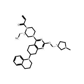 C=CC(=O)N1CCN(c2nc(OC[C@@H]3CCN(C)C3)nc3c2CCC(N2CCCc4ccccc42)C3)C[C@@H]1CC#N